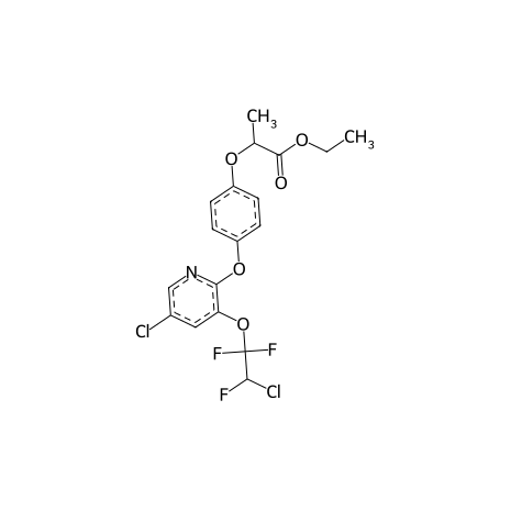 CCOC(=O)C(C)Oc1ccc(Oc2ncc(Cl)cc2OC(F)(F)C(F)Cl)cc1